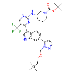 CC(C)(C)OC(=O)N1CCC[C@H](Nc2ncc(C(F)(F)F)c(-c3c[nH]c4cc(-c5ccnn5COCC[Si](C)(C)C)ccc34)n2)C1